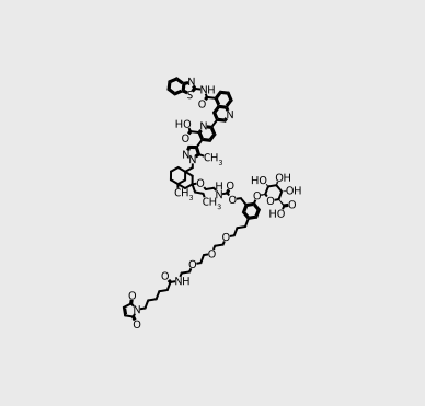 CCCC1(OCCNC(=O)OCc2cc(CCCOCCOCCOCCNC(=O)CCCCCN3C(=O)C=CC3=O)ccc2O[C@@H]2O[C@H](C(=O)O)[C@@H](O)[C@H](O)[C@H]2O)CC2(C)CCCC(Cn3ncc(-c4ccc(-c5cnc6cccc(C(=O)Nc7nc8ccccc8s7)c6c5)nc4C(=O)O)c3C)(C2)C1